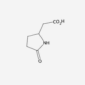 O=C(O)CC1CCC(=O)N1